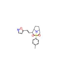 Cc1ccc(S(=O)(=O)N2C3CCCC(C=Cc4ccno4)C2CC3)cc1